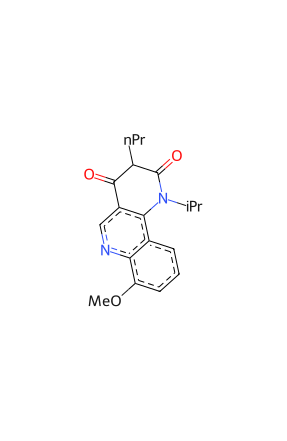 CCCC1C(=O)c2cnc3c(OC)cccc3c2N(C(C)C)C1=O